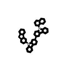 c1ccc2c(c1)Cc1ccc(-n3c4ccccc4c4ccc(-c5ccc6c(c5)c5ccccc5n6-c5cccc6ccccc56)cc43)cc1-2